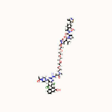 COc1cc(-c2scnc2C)ccc1[C@H](C)NC(=O)[C@@H]1CCCN1C(=O)[C@H](c1cc(OCCOCCOCCOCCOCCN(C)C(=O)CCNc2nc(N3CCN(C(C)=O)CC3)c3cc(Cl)c(-c4cc(O)cc5ccccc45)c(F)c3n2)no1)C(C)C